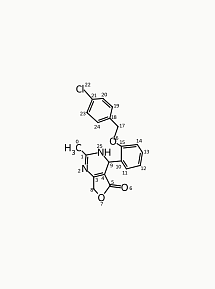 CC1=NC2=C(C(=O)OC2)C(c2ccccc2OCc2ccc(Cl)cc2)N1